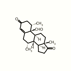 C[C@@H]1CC2=CC(=O)C[C@H](C)[C@]2(C=O)[C@H]2CC[C@]3(C)C(=O)CC[C@H]3[C@H]12